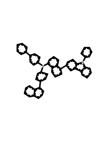 c1ccc(-c2ccc(N(c3ccc(-c4cccc5ccccc45)cc3)c3cccc4c(-c5ccc6c(c5)c5ccccc5n6-c5ccccc5)cccc34)cc2)cc1